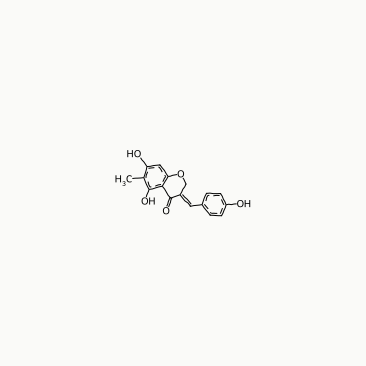 Cc1c(O)cc2c(c1O)C(=O)/C(=C/c1ccc(O)cc1)CO2